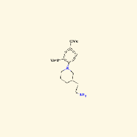 CNc1cc(OC)ccc1N1CCCC(CCN)C1